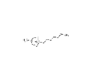 COCCCCCC12OCC(C)(CO1)CO2